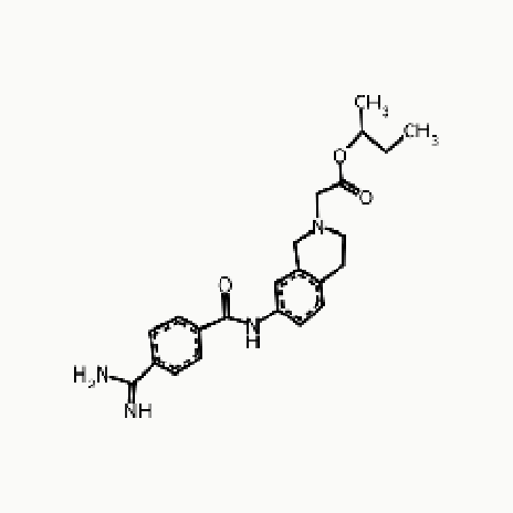 CCC(C)OC(=O)CN1CCc2ccc(NC(=O)c3ccc(C(=N)N)cc3)cc2C1